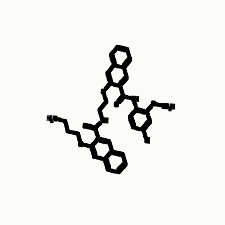 NCCCOc1cc2ccccc2cc1C(=O)NCCOc1cc2ccccc2cc1C(=O)Nc1ccc(Cl)cc1OS(=O)(=O)O